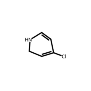 ClC1=CCNC=C1